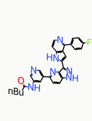 CCCCC(=O)Nc1cncc(-c2ccc3[nH]nc(-c4cc5c(-c6ccc(F)cc6)nccc5[nH]4)c3n2)c1